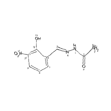 NC(=O)N/N=C/c1cccc([N+](=O)[O-])c1O